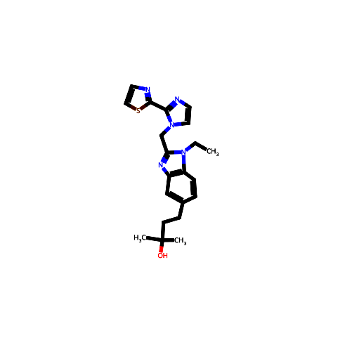 CCn1c(Cn2ccnc2-c2nccs2)nc2cc(CCC(C)(C)O)ccc21